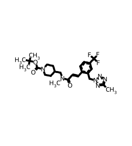 Cc1nnn(Cc2cc(C(F)(F)F)ccc2C=CC(=O)N(C)CC2CCN(C(=O)OC(C)(C)C)CC2)n1